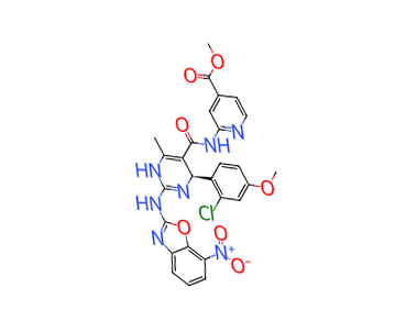 COC(=O)c1ccnc(NC(=O)C2=C(C)NC(Nc3nc4cccc([N+](=O)[O-])c4o3)=N[C@@H]2c2ccc(OC)cc2Cl)c1